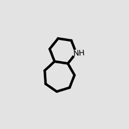 C1CC[C]2NCCCC2CC1